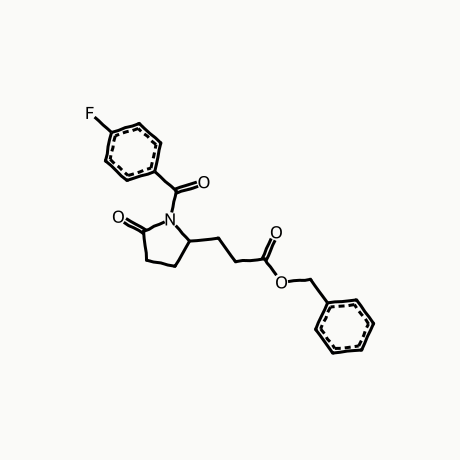 O=C(CCC1CCC(=O)N1C(=O)c1ccc(F)cc1)OCc1ccccc1